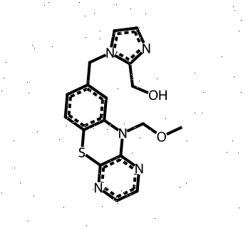 COCN1c2cc(Cn3ccnc3CO)ccc2Sc2nccnc21